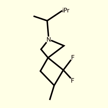 CC(C)C(C)N1CC2(CC(C)C2(F)F)C1